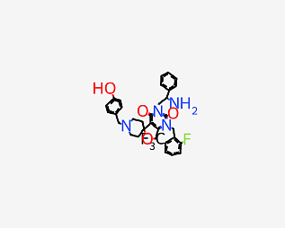 N[C@@H](Cn1c(=O)c2c(n(Cc3c(F)cccc3C(F)(F)F)c1=O)COC21CCN(Cc2ccc(O)cc2)CC1)c1ccccc1